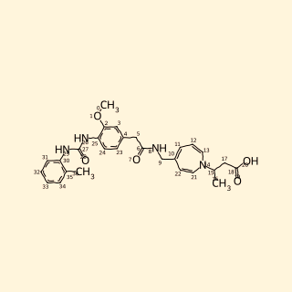 COc1cc(CC(=O)NCC2=CC=CN(C(C)CC(=O)O)C=C2)ccc1NC(=O)Nc1ccccc1C